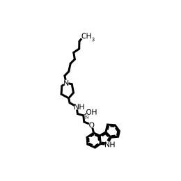 CCCCCCCCN1CCC(CNC[C@H](O)COc2cccc3[nH]c4ccccc4c23)CC1